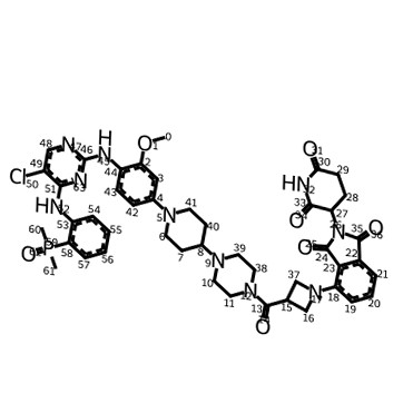 COc1cc(N2CCC(N3CCN(C(=O)C4CN(c5cccc6c5C(=O)N(C5CCC(=O)NC5=O)C6=O)C4)CC3)CC2)ccc1Nc1ncc(Cl)c(Nc2ccccc2P(C)(C)=O)n1